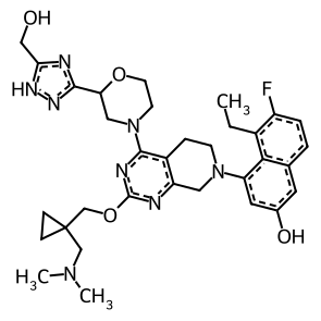 CCc1c(F)ccc2cc(O)cc(N3CCc4c(nc(OCC5(CN(C)C)CC5)nc4N4CCOC(c5n[nH]c(CO)n5)C4)C3)c12